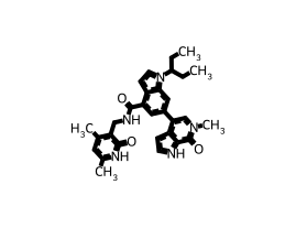 CCC(CC)n1ccc2c(C(=O)NCc3c(C)cc(C)[nH]c3=O)cc(-c3cn(C)c(=O)c4[nH]ccc34)cc21